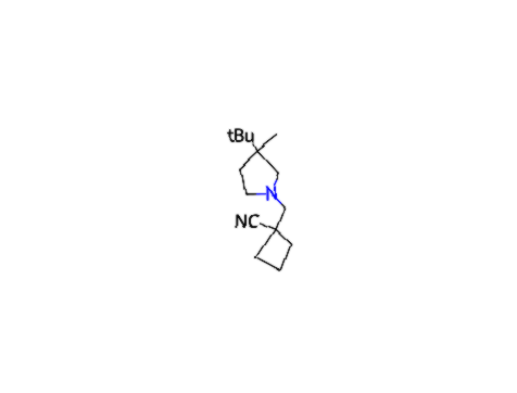 CC(C)(C)C1(C)CCN(CC2(C#N)CCC2)C1